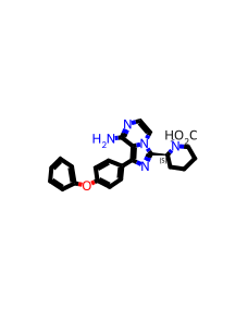 Nc1nccn2c([C@@H]3CCCCN3C(=O)O)nc(-c3ccc(Oc4ccccc4)cc3)c12